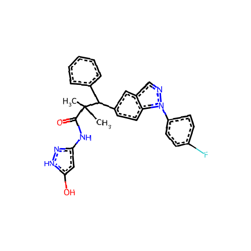 CC(C)(C(=O)Nc1cc(O)[nH]n1)C(c1ccccc1)c1ccc2c(cnn2-c2ccc(F)cc2)c1